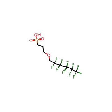 O=S(=O)(O)CCCOCC(F)(F)C(F)(F)C(F)(F)C(F)(F)C(F)(F)F